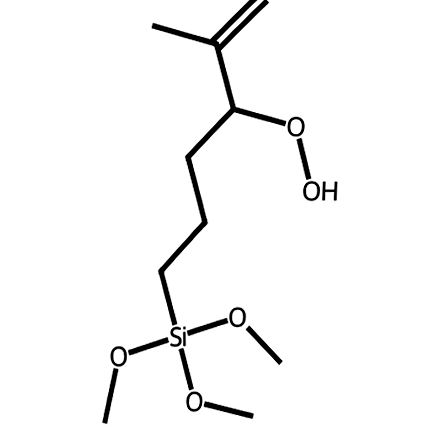 C=C(C)C(CCC[Si](OC)(OC)OC)OO